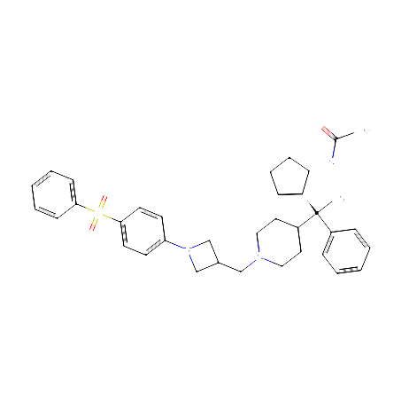 COC(=O)N[C@H]1CCC[C@@H]1C(C#N)(c1ccccc1)C1CCN(CC2CN(c3ccc(S(=O)(=O)c4ccccc4)cc3)C2)CC1